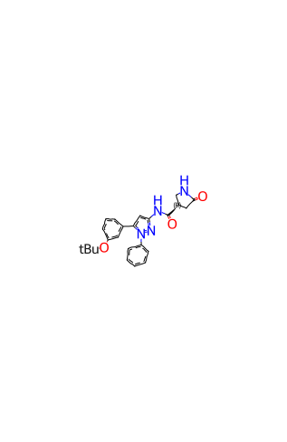 CC(C)(C)Oc1cccc(-c2cc(NC(=O)[C@H]3CNC(=O)C3)nn2-c2ccccc2)c1